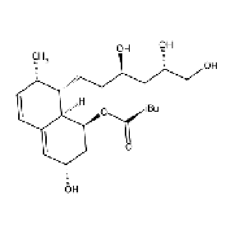 CC[C@H](C)C(=O)O[C@H]1C[C@H](O)C=C2C=C[C@H](C)[C@H](CC[C@@H](O)C[C@H](O)CO)[C@H]21